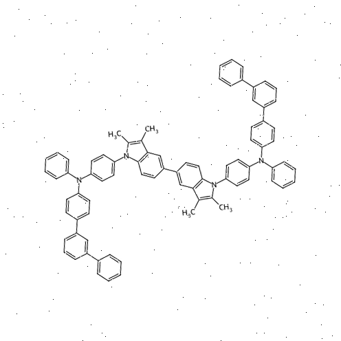 Cc1c(C)n(-c2ccc(N(c3ccccc3)c3ccc(-c4cccc(-c5ccccc5)c4)cc3)cc2)c2ccc(-c3ccc4c(c3)c(C)c(C)n4-c3ccc(N(c4ccccc4)c4ccc(-c5cccc(-c6ccccc6)c5)cc4)cc3)cc12